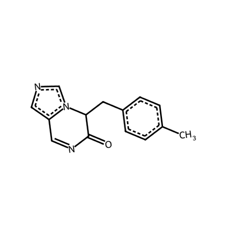 Cc1ccc(CC2C(=O)N=Cc3cncn32)cc1